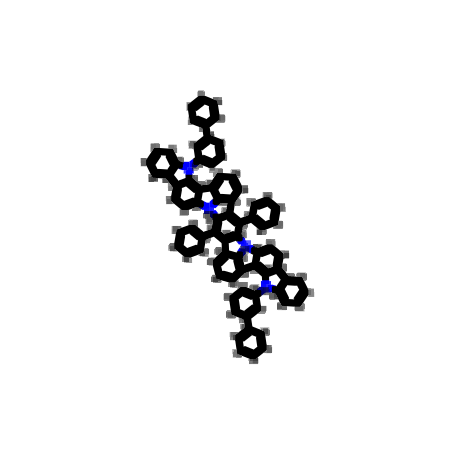 c1ccc(-c2cccc(-n3c4ccccc4c4ccc5c(c6cccc7c8c(-c9ccccc9)c9c(c(-c%10ccccc%10)c8n5c76)c5cccc6c7c8c(ccc7n9c56)c5ccccc5n8-c5cccc(-c6ccccc6)c5)c43)c2)cc1